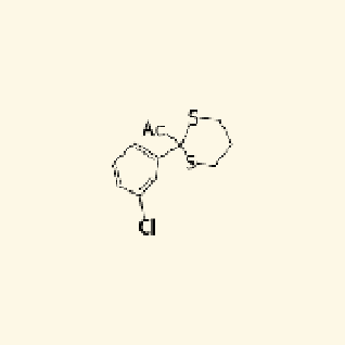 CC(=O)C1(c2cccc(Cl)c2)SCCCS1